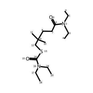 CCN(CC)C(=O)CCC(C)(C)CSC(=O)N(CC)CC